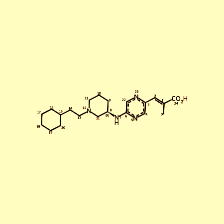 CC(=Cc1cnc(N[C@@H]2CCCN(CCC3CCCCC3)C2)cn1)C(=O)O